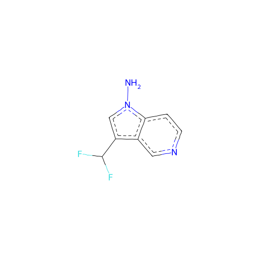 Nn1cc(C(F)F)c2cnccc21